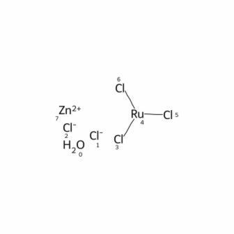 O.[Cl-].[Cl-].[Cl][Ru]([Cl])[Cl].[Zn+2]